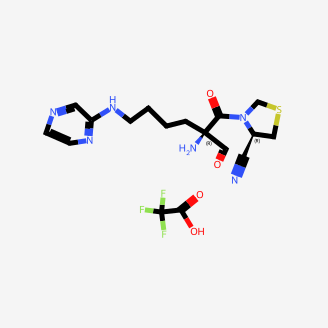 N#C[C@@H]1CSCN1C(=O)[C@](N)(C=O)CCCCNc1cnccn1.O=C(O)C(F)(F)F